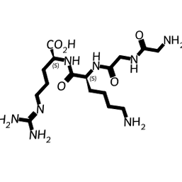 NCCCC[C@H](NC(=O)CNC(=O)CN)C(=O)N[C@@H](CCCN=C(N)N)C(=O)O